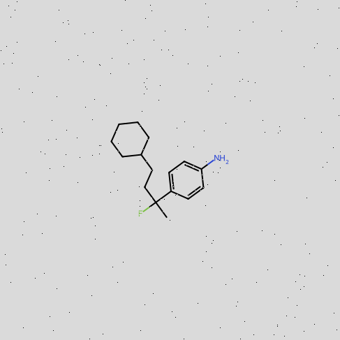 CC(F)(CCC1CCCCC1)c1ccc(N)cc1